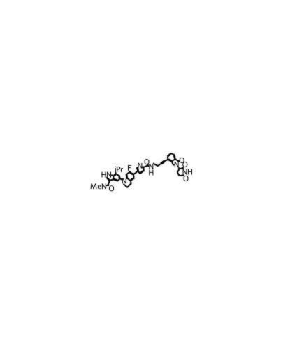 CNC(=O)c1c[nH]c2c(C(C)C)cc(N3CCCc4cc(-c5ccc(C(=O)NCCC#Cc6cccc7c6CN(C6CCC(=O)NC6=O)C7=O)nc5)c(F)cc43)cc12